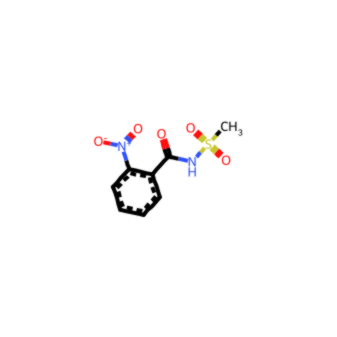 CS(=O)(=O)NC(=O)c1ccccc1[N+](=O)[O-]